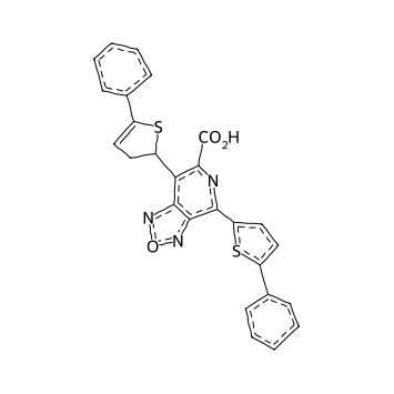 O=C(O)c1nc(-c2ccc(-c3ccccc3)s2)c2nonc2c1C1CC=C(c2ccccc2)S1